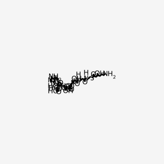 CC(C)(COP(=O)(O)OP(=O)(O)OC[C@H]1O[C@@H](n2cnc3c(N)ncnc32)[C@H](O)[C@@H]1OP(=O)(O)O)[C@@H](O)C(=O)NCCC(=O)NCCSC(=O)CC(O)CCCN